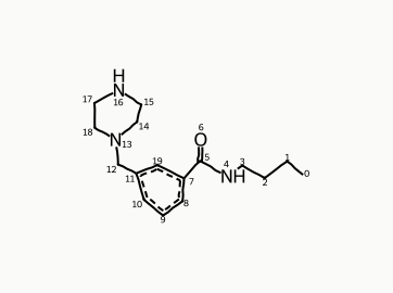 CCCCNC(=O)c1cccc(CN2CCNCC2)c1